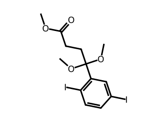 COC(=O)CCC(OC)(OC)c1cc(I)ccc1I